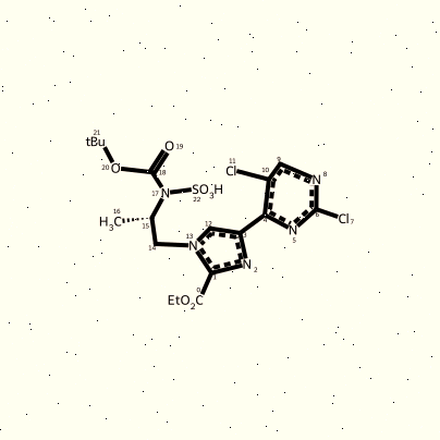 CCOC(=O)c1nc(-c2nc(Cl)ncc2Cl)cn1C[C@H](C)N(C(=O)OC(C)(C)C)S(=O)(=O)O